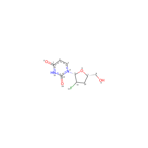 O=c1ccn([C@@H]2O[C@H](CO)CC2F)c(=O)[nH]1